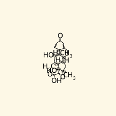 C[C@@H]1C[C@H]2[C@@H]3CCC4=CC(=O)C=C[C@]4(C)[C@H]3[C@@H](O)C[C@]2(C)[C@@]1(O)C(=O)C(=O)O